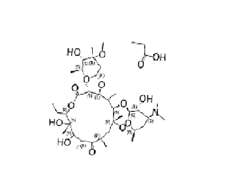 CCC(=O)O.CC[C@H]1OC(=O)[C@H](C)[C@@H](O[C@H]2C[C@@](C)(OC)[C@@H](O)[C@H](C)O2)C(C)[C@@H](O[C@@H]2O[C@H](C)C[C@H](N(C)C)[C@H]2O)[C@](C)(OC)C[C@@H](C)C(=O)[C@H](C)[C@@H](O)[C@]1(C)O